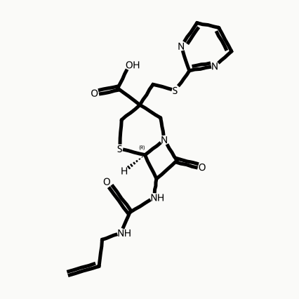 C=CCNC(=O)NC1C(=O)N2CC(CSc3ncccn3)(C(=O)O)CS[C@H]12